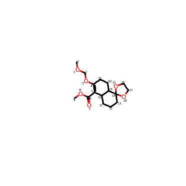 COCOC1=C(C(=O)OC)C2CCCC3(OCCO3)C2CC1